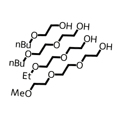 CCCCOCCO.CCCCOCCOCCO.CCOCCOCCO.COCCOCCOCCO